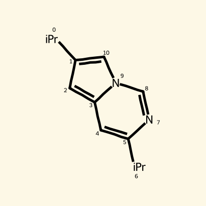 CC(C)c1cc2cc(C(C)C)ncn2c1